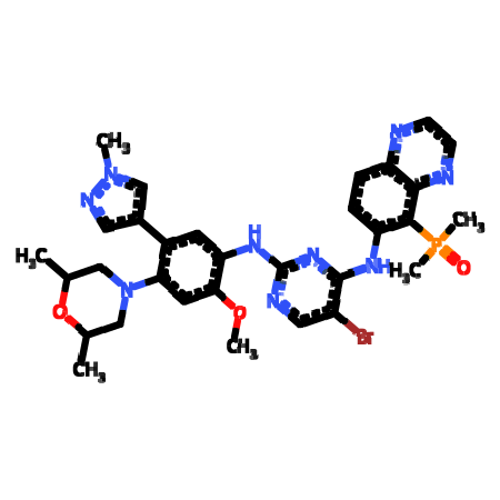 COc1cc(N2CC(C)OC(C)C2)c(-c2cnn(C)c2)cc1Nc1ncc(Br)c(Nc2ccc3nccnc3c2P(C)(C)=O)n1